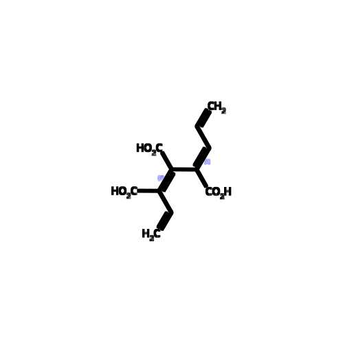 C=C/C=C(C(=O)O)\C(C(=O)O)=C(/C=C)C(=O)O